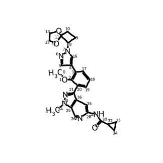 COc1c(-c2cnn([C@@H]3CCC34OCCO4)c2)cccc1-c1nn(C)c2cnc(NC(=O)C3CC3)cc12